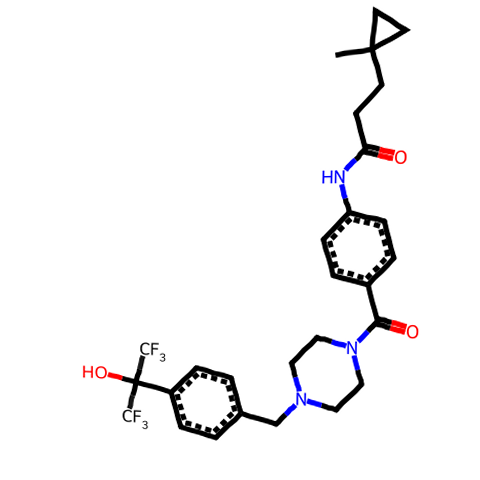 CC1(CCC(=O)Nc2ccc(C(=O)N3CCN(Cc4ccc(C(O)(C(F)(F)F)C(F)(F)F)cc4)CC3)cc2)CC1